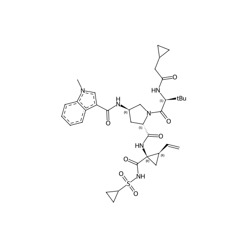 C=C[C@H]1C[C@]1(NC(=O)[C@@H]1C[C@@H](NC(=O)c2cn(C)c3ccccc23)CN1C(=O)[C@@H](NC(=O)CC1CC1)C(C)(C)C)C(=O)NS(=O)(=O)C1CC1